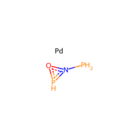 Pn1o[pH]1.[Pd]